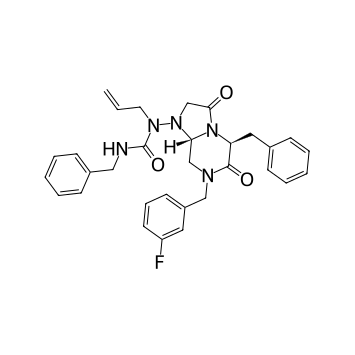 C=CCN(C(=O)NCc1ccccc1)N1CC(=O)N2[C@@H](Cc3ccccc3)C(=O)N(Cc3cccc(F)c3)C[C@@H]21